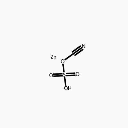 N#COS(=O)(=O)O.[Zn]